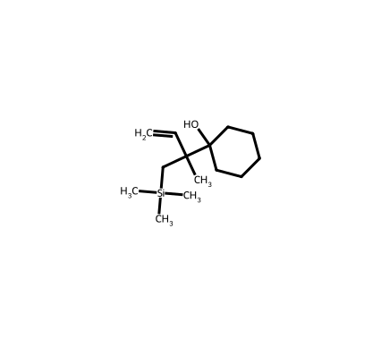 C=CC(C)(C[Si](C)(C)C)C1(O)CCCCC1